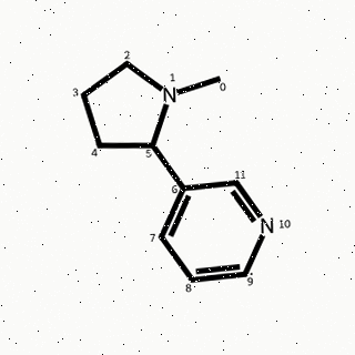 CN1CCCC1c1cc[c]nc1